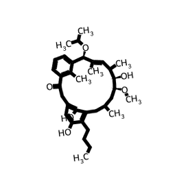 CCCCc1c(O)cc2c(O)c1CC(C)C[C@H](OC)[C@H](O)C(C)/C=C(\C)[C@H](OC(C)C)c1cccc(c1C)C(=O)C2